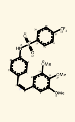 COc1cc(/C=C\c2ccc(NS(=O)(=O)c3ccc(C(F)(F)F)cc3)cc2)cc(OC)c1OC